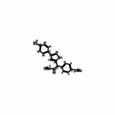 CCCCNC(c1ccc(CCCC)cc1)c1nc(-c2ccc(CC)cc2)cs1